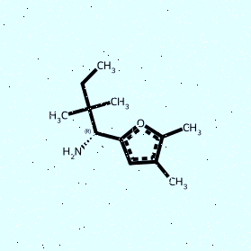 CCC(C)(C)[C@@H](N)c1cc(C)c(C)o1